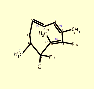 CC1=C/C=C/CC(C)C(F)(F)\C(C)=C\1F